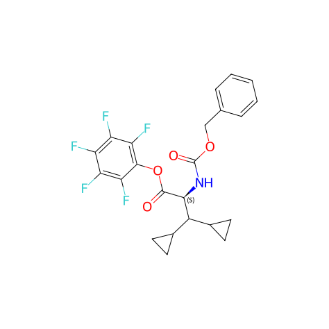 O=C(N[C@H](C(=O)Oc1c(F)c(F)c(F)c(F)c1F)C(C1CC1)C1CC1)OCc1ccccc1